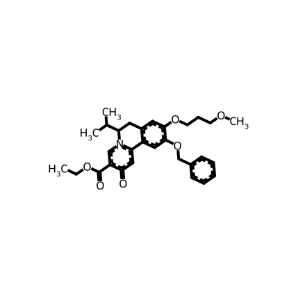 CCOC(=O)c1cn2c(cc1=O)-c1cc(OCc3ccccc3)c(OCCCOC)cc1CC2C(C)C